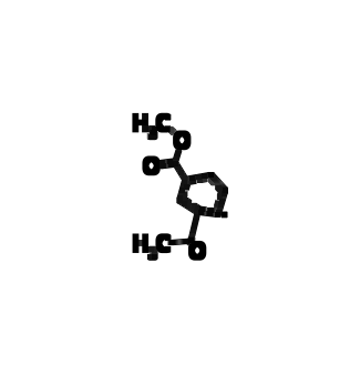 COC(=O)c1cc[c]c(C(C)=O)c1